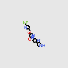 Cn1c2c(c3ccc(-n4ncc(OCc5ccc(C(F)(F)F)nc5)cc4=O)cc31)CCNC2